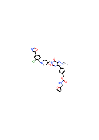 Cn1nc2c(=O)n(CC3(O)CCN(Cc4ccc(-c5cnco5)cc4Cl)CC3)cnc2c1-c1ccc(COC(=O)NCc2ccco2)cc1